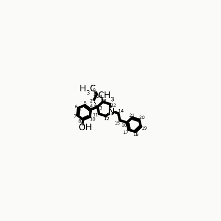 CCC[C@@]1(c2cccc(O)c2)CCN(CCc2ccccc2)C[C@@H]1C